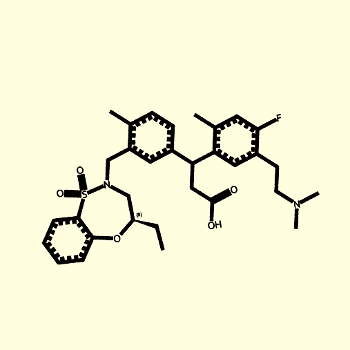 CC[C@@H]1CN(Cc2cc(C(CC(=O)O)c3cc(CCN(C)C)c(F)cc3C)ccc2C)S(=O)(=O)c2ccccc2O1